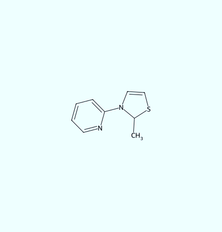 CC1SC=CN1c1ccccn1